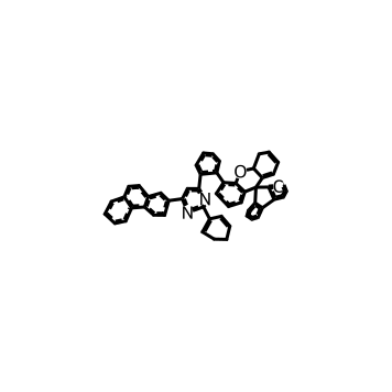 C1=CCC2Oc3c(-c4ccccc4-c4cc(-c5ccc6c(ccc7ccccc76)c5)nc(C5=CCCC=C5)n4)cccc3C3(C2=C1)c1ccccc1-c1ccccc13